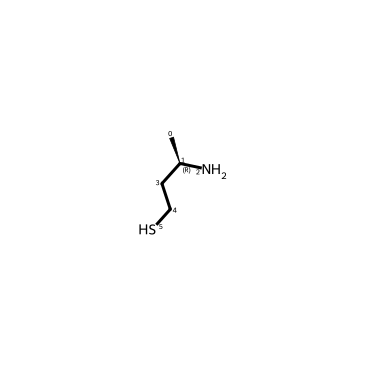 C[C@@H](N)CCS